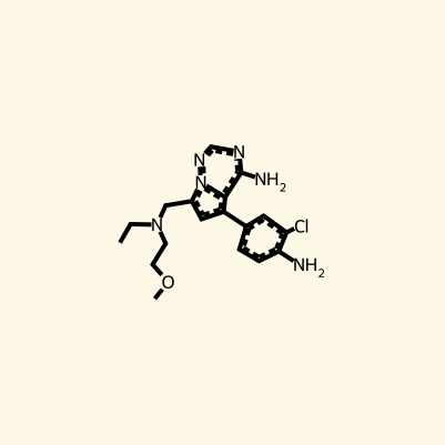 CCN(CCOC)Cc1cc(-c2ccc(N)c(Cl)c2)c2c(N)ncnn12